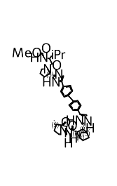 COC(=O)NC(C(=O)N1CCC[C@H]1c1ncc(-c2ccc(-c3ccc(-c4cnc([C@@H]5[C@H]6CC[C@H](C6)[C@H]5C(=O)NN5CC[C@H](C)C5=O)[nH]4)cc3)cc2)[nH]1)C(C)C